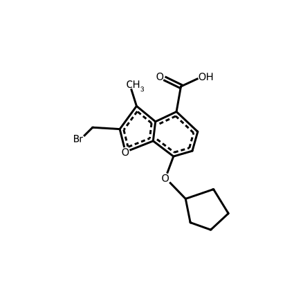 Cc1c(CBr)oc2c(OC3CCCC3)ccc(C(=O)O)c12